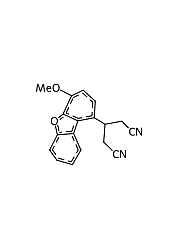 COc1ccc(C(CC#N)CC#N)c2c1oc1ccccc12